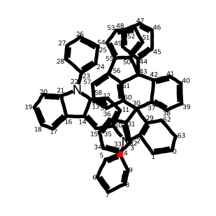 C1=CC(N(c2ccccc2)c2ccc3c(c2)c2ccccc2n3-c2ccccc2)=C(C2(c3ccccc3)c3ccccc3C3(c4ccccc4)c4ccccc4-c4cccc2c43)CC1